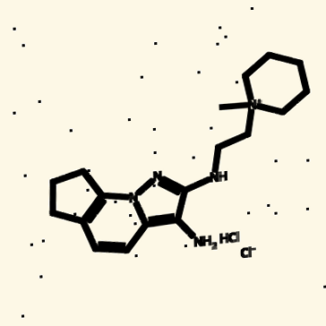 C[N+]1(CCNc2nn3c4c(ccc3c2N)CCC4)CCCCC1.Cl.[Cl-]